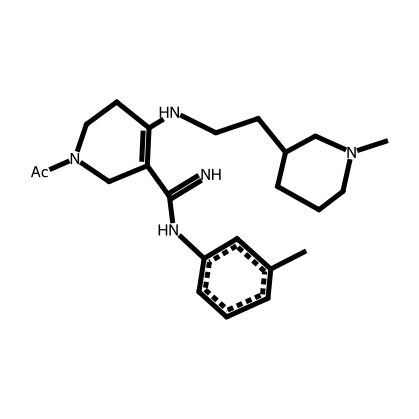 CC(=O)N1CCC(NCCC2CCCN(C)C2)=C(C(=N)Nc2cccc(C)c2)C1